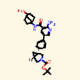 CC(C)(C)OC(=O)N1C[C@@H]2C[C@@]2(c2ccc(-c3cnc(N)c(C(=O)NC45CCC(O)(CC4)CC5)c3)cc2)C1